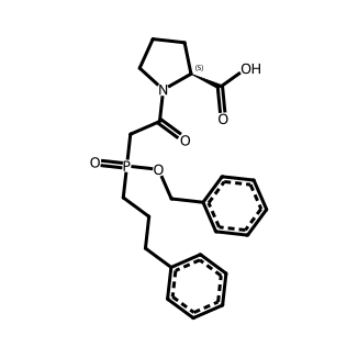 O=C(O)[C@@H]1CCCN1C(=O)CP(=O)(CCCc1ccccc1)OCc1ccccc1